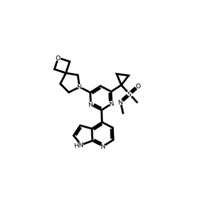 CN=S(C)(=O)C1(c2cc(N3CCC4(COC4)C3)nc(-c3ccnc4[nH]ccc34)n2)CC1